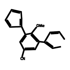 C/C=C\C(=C/C)c1cc(C#N)cc(-c2ccccc2)c1OC